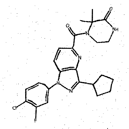 CC1(C)C(=O)NCCN1C(=O)c1ccc2c(n1)c(C1CCCC1)nn2-c1ccc(Cl)c(F)c1